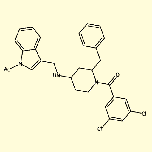 CC(=O)n1cc(CNC2CCN(C(=O)c3cc(Cl)cc(Cl)c3)C(Cc3ccccc3)C2)c2ccccc21